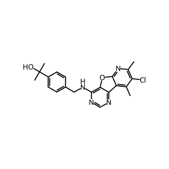 Cc1nc2oc3c(NCc4ccc(C(C)(C)O)cc4)ncnc3c2c(C)c1Cl